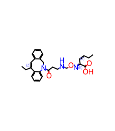 CC/C=C\C(=N/OCNCCC(=O)N1Cc2ccccc2/C=C(/CC)c2ccccc21)C(=O)O